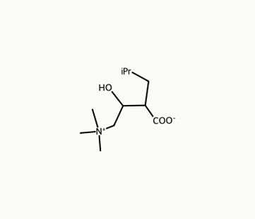 CC(C)CC(C(=O)[O-])C(O)C[N+](C)(C)C